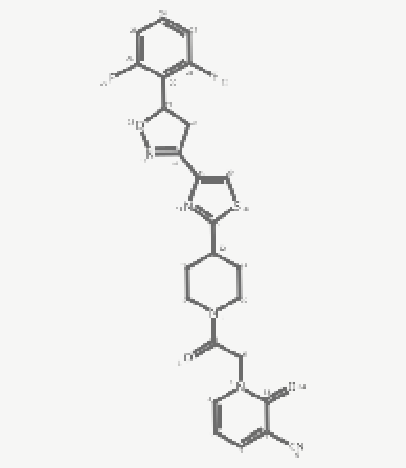 N#Cc1cccn(CC(=O)N2CCC(c3nc(C4=NOC(c5c(F)cccc5F)C4)cs3)CC2)c1=O